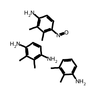 Cc1c(N)ccc(N)c1C.Cc1c(N)ccc(N=O)c1C.Cc1cccc(N)c1C